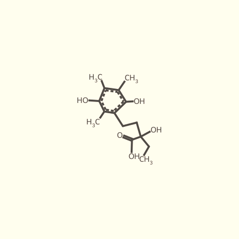 CCC(O)(CCc1c(C)c(O)c(C)c(C)c1O)C(=O)O